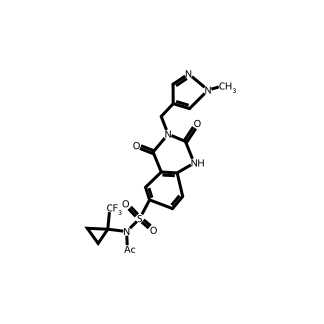 CC(=O)N(C1(C(F)(F)F)CC1)S(=O)(=O)c1ccc2[nH]c(=O)n(Cc3cnn(C)c3)c(=O)c2c1